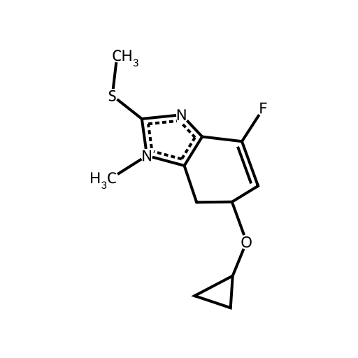 CSc1nc2c(n1C)CC(OC1CC1)C=C2F